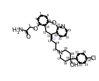 NC(=O)COc1cccc2c1C/C(=C/CCN1CCC(O)(c3ccc(Cl)cc3)CC1)c1cccnc1O2